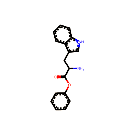 NC(Cc1c[nH]c2ccccc12)C(=O)Oc1ccccc1